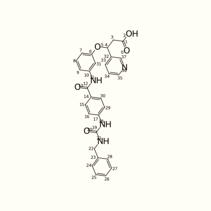 O=C(O)CC(Oc1cccc(NC(=O)c2ccc(NC(=O)NCc3ccccc3)cc2)c1)c1cccnc1